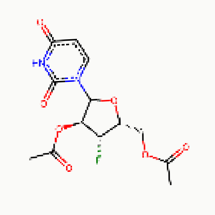 CC(=O)OC[C@H]1OC(n2ccc(=O)[nH]c2=O)[C@H](OC(C)=O)[C@H]1F